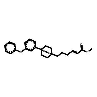 COC(=O)C=CCCCC12CCC(c3cccc(Oc4ccccc4)c3)(CC1)OC2